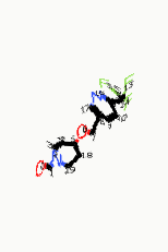 O=CN1CCC(OCc2ccc(C(F)(F)F)nc2)CC1